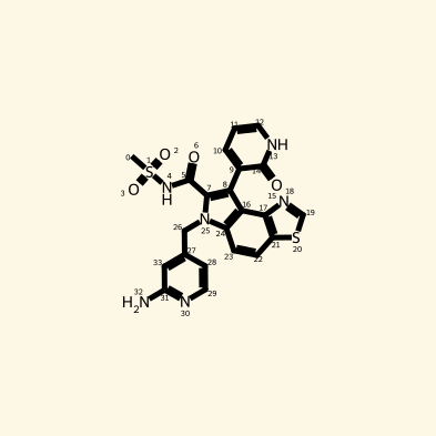 CS(=O)(=O)NC(=O)c1c(-c2ccc[nH]c2=O)c2c3ncsc3ccc2n1Cc1ccnc(N)c1